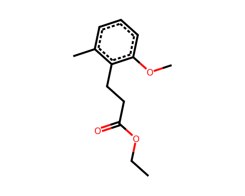 CCOC(=O)CCc1c(C)cccc1OC